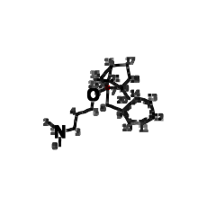 CN(C)CCCOC1(Cc2ccccc2)CC2CCC1(C)C2(C)C